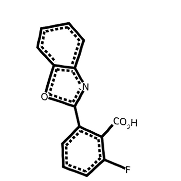 O=C(O)c1c(F)cccc1-c1nc2ccccc2o1